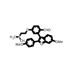 COc1ccc(-c2oc3cc(OC)ccc3c2-c2cc(OCCN(C)C)ccc2C=O)cc1